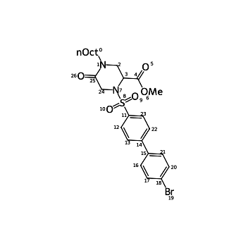 CCCCCCCCN1CC(C(=O)OC)N(S(=O)(=O)c2ccc(-c3ccc(Br)cc3)cc2)CC1=O